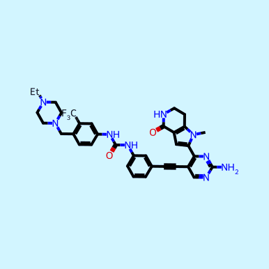 CCN1CCN(Cc2ccc(NC(=O)Nc3cccc(C#Cc4cnc(N)nc4-c4cc5c(n4C)CCNC5=O)c3)cc2C(F)(F)F)CC1